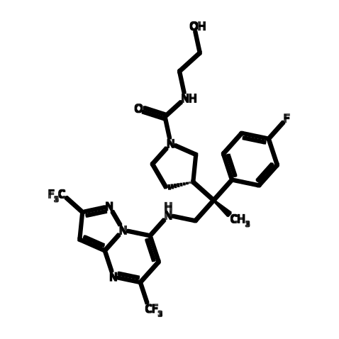 C[C@](CNc1cc(C(F)(F)F)nc2cc(C(F)(F)F)nn12)(c1ccc(F)cc1)[C@@H]1CCN(C(=O)NCCO)C1